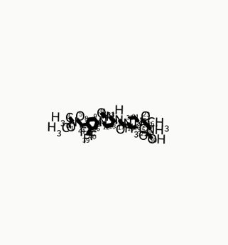 CON(C)C(=O)Cc1ccc(-n2ccc(NC(=O)N3CCN(C(=O)C(C)(C)NC(=O)O)CC3)nc2=O)cc1C(F)(F)F